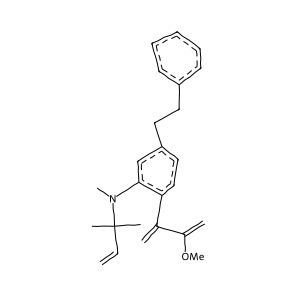 C=CC(C)(C)N(C)c1cc(CCc2ccccc2)ccc1C(=C)C(=C)OC